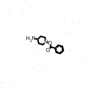 NC1CCN(OC(=O)c2ccccc2)CC1